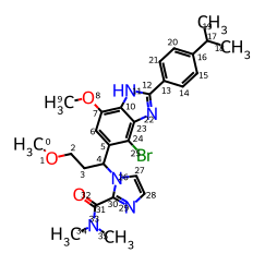 COCCC(c1cc(OC)c2[nH]c(-c3ccc(C(C)C)cc3)nc2c1Br)n1ccnc1C(=O)N(C)C